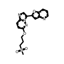 CS(=O)(=O)CCCOc1ccc2ncc(-c3cc4ncccc4o3)n2n1